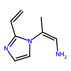 C=Cc1nccn1/C(C)=C\N